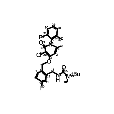 Cc1cc(OCc2ccc(F)cc2CNC(=O)N(C)C(C)(C)C)c(Cl)c(=O)n1-c1c(F)cccc1F